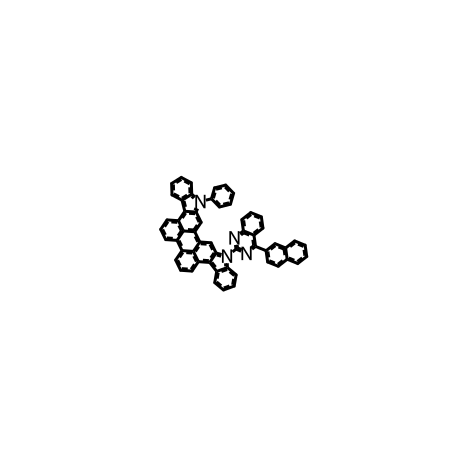 c1ccc(-n2c3ccccc3c3c4cccc5c6cccc7c6c(cc6c7c7ccccc7n6-c6nc(-c7ccc8ccccc8c7)c7ccccc7n6)c(cc32)c54)cc1